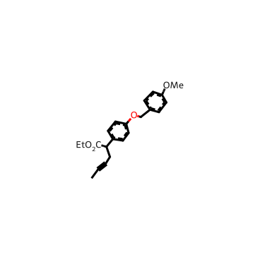 CC#CCC(C(=O)OCC)c1ccc(OCc2ccc(OC)cc2)cc1